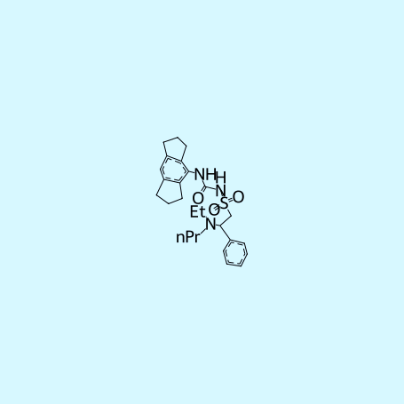 CCCN(CC)C(CS(=O)(=O)NC(=O)Nc1c2c(cc3c1CCC3)CCC2)c1ccccc1